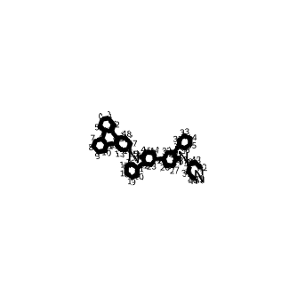 c1ccc2c(c1)c1ccccc1c1cc(-n3c4ccccc4c4cc(-c5ccc6c(c5)c5ccccc5n6-c5ccncc5)ccc43)ccc21